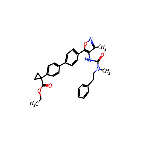 CCOC(=O)C1(c2ccc(-c3ccc(-c4onc(C)c4NC(=O)N(C)CCc4ccccc4)cc3)cc2)CC1